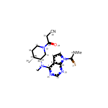 CNC(=S)n1ccc2c(N(C)[C@H]3CN(C(=O)CC#N)CC[C@H]3C)ncnc21